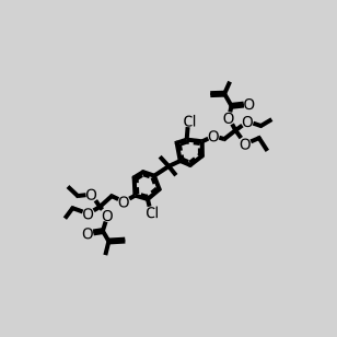 C=C(C)C(=O)OC(COc1ccc(C(C)(C)c2ccc(OCC(OCC)(OCC)OC(=O)C(=C)C)c(Cl)c2)cc1Cl)(OCC)OCC